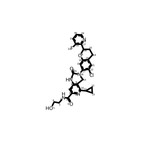 O=C(NCCO)c1cc2c(c(C3CC3)n1)CN(c1cc3c(cc1Cl)CCC(c1ncccc1F)O3)C(=O)N2